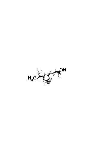 CCC(C)N1CC(CSCC(=O)O)CC(F)(F)C1